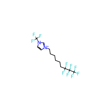 FC(F)(F)n1cc[n+](CCCCCCC(F)(F)C(F)(F)C(F)(F)F)c1